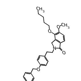 CCCCCOc1c(OC)ccc2c1CN(CCc1ccc(OCc3ccccc3)cc1)C2=O